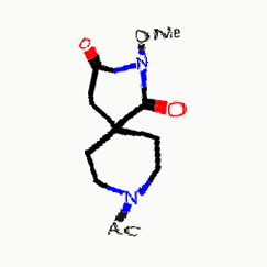 CON1C(=O)CC2(CCN(C(C)=O)CC2)C1=O